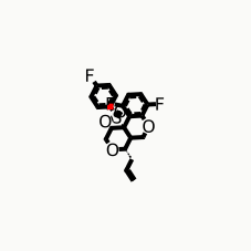 C=CC[C@@H]1OCC[C@@]2(S(=O)(=O)c3ccc(F)cc3)c3c(F)ccc(F)c3OCC12